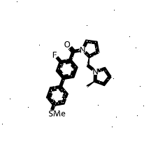 CSc1ccc(-c2ccc(C(=O)N3CCC[C@H]3CN3CCC[C@H]3C)c(F)c2)cc1